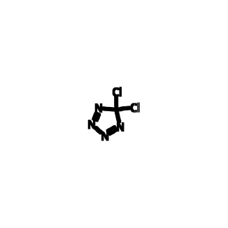 ClC1(Cl)N=NN=N1